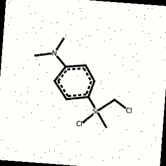 CN(C)c1ccc([Si](C)(Cl)CCl)cc1